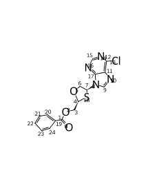 O=C(OC[C@H]1OC[C@@H](n2cnc3c(Cl)ncnc32)S1)c1ccccc1